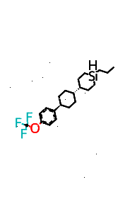 CCC[SiH]1CCC([C@H]2CC[C@H](c3ccc(OC(F)(F)F)cc3)CC2)CC1